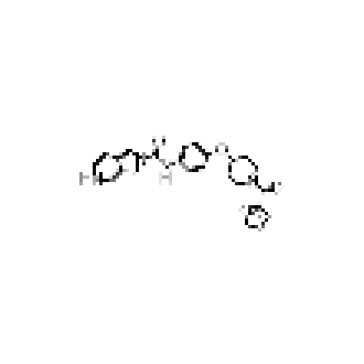 O=C(Nc1ccc(OC2CCN(C(=O)[C@@H]3CCCO3)CC2)cc1)N1C=C2C=CNC=C2C1